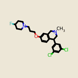 CN1Cc2cc(OCCCN3CCC(F)CC3)ccc2C(c2cc(Cl)cc(Cl)c2)C1